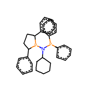 c1ccc(C2CCC(c3ccccc3)P2N(C2CCCCC2)P(c2ccccc2)c2ccccc2)cc1